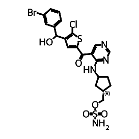 NS(=O)(=O)OC[C@@H]1CCC(Nc2ncncc2C(=O)c2cc(C(O)c3cccc(Br)c3)c(Cl)s2)C1